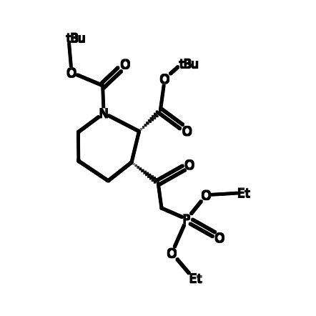 CCOP(=O)(CC(=O)[C@@H]1CCCN(C(=O)OC(C)(C)C)[C@@H]1C(=O)OC(C)(C)C)OCC